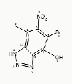 Cc1c([N+](=O)[O-])c(Br)c(O)c2nn[nH]c12